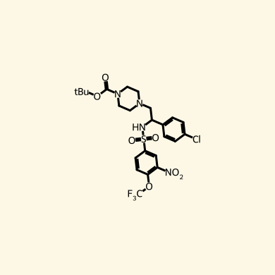 CC(C)(C)OC(=O)N1CCN(CC(NS(=O)(=O)c2ccc(OC(F)(F)F)c([N+](=O)[O-])c2)c2ccc(Cl)cc2)CC1